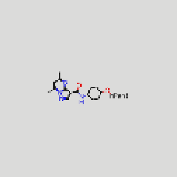 CCCCCO[C@H]1CC[C@H](NC(=O)c2cnn3c(C)cc(C)nc23)CC1